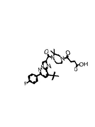 CC(C)(C)c1cc(-c2ccc(F)cc2)nn2cc(C(=O)N3CCN(C(=O)CCC(=O)O)CC3(C)C)nc12